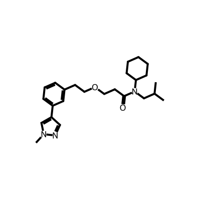 CC(C)CN(C(=O)CCOCCc1cccc(-c2cnn(C)c2)c1)C1CCCCC1